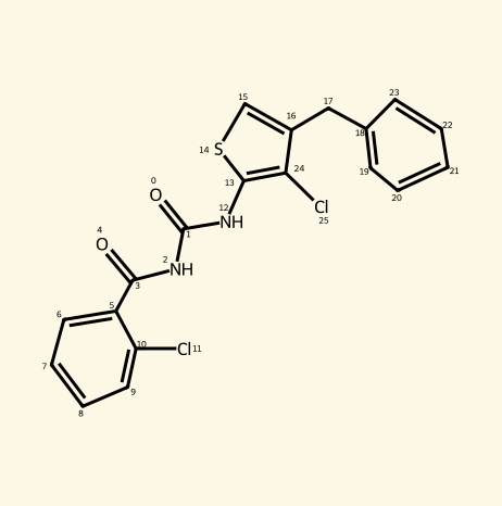 O=C(NC(=O)c1ccccc1Cl)Nc1scc(Cc2ccccc2)c1Cl